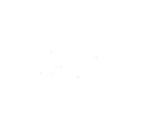 C\C=C/N=C(OCCNCCCF)\C(C)=C\C1c2[nH]c3ccccc3c2C[C@@H](C)N1CCC